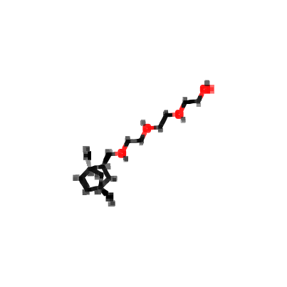 OCCOCCOCCOC[C@H]1C[C@@H]2C=C[C@@H]1C2